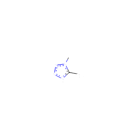 CCn1nnnc1[N+](=O)[O-]